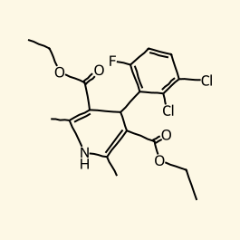 CCOC(=O)C1=C(C)NC(C)=C(C(=O)OCC)C1c1c(F)ccc(Cl)c1Cl